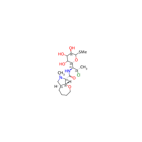 CSC1O[C@H]([C@H](NC(=O)[C@@H]2[C@@H]3OCCCC[C@H]3CN2C)[C@H](C)Cl)C(O)C(O)[C@H]1O